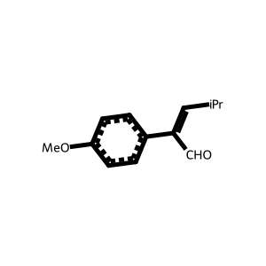 COc1ccc(C(C=O)=CC(C)C)cc1